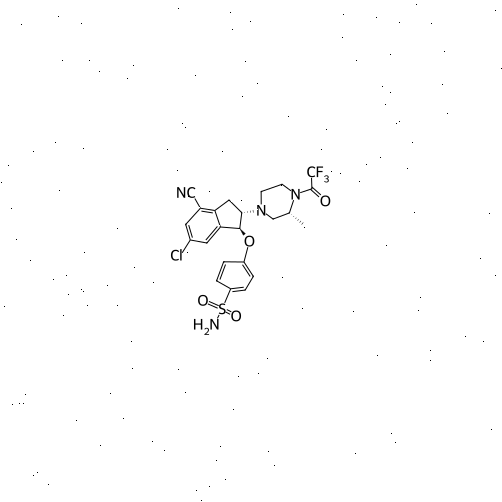 C[C@@H]1CN([C@H]2Cc3c(C#N)cc(Cl)cc3[C@@H]2Oc2ccc(S(N)(=O)=O)cc2)CCN1C(=O)C(F)(F)F